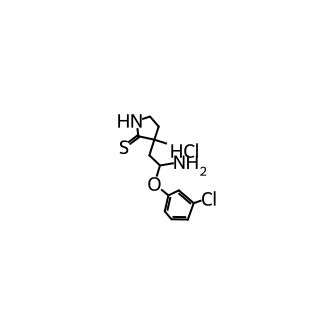 CC1(CC(N)Oc2cccc(Cl)c2)CCNC1=S.Cl